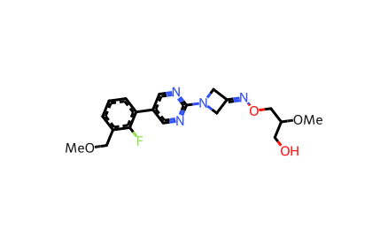 COCc1cccc(-c2cnc(N3CC(=NOCC(CO)OC)C3)nc2)c1F